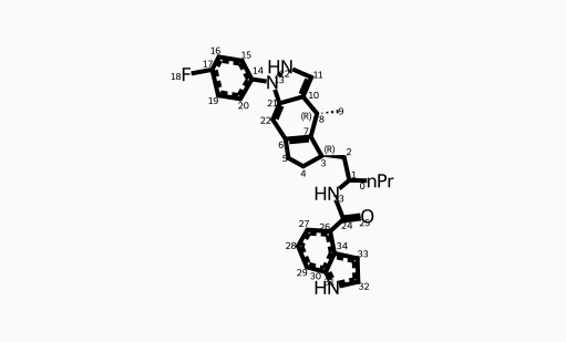 CCCC(C[C@H]1CCC2=C1[C@@H](C)C1=CNN(c3ccc(F)cc3)C1=C2)NC(=O)c1cccc2[nH]ccc12